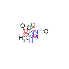 CC1=C(C(=O)OCc2ccccc2)C(c2cccc(Cl)c2)N(C(=O)NCCCc2ccccc2)C(=O)N1